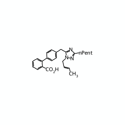 C/C=C/Cn1nc(CCCCC)nc1Cc1ccc(-c2ccccc2C(=O)O)cc1